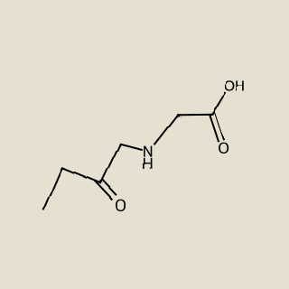 CCC(=O)CNCC(=O)O